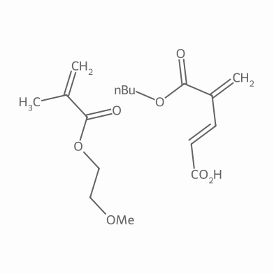 C=C(C)C(=O)OCCOC.C=C(C=CC(=O)O)C(=O)OCCCC